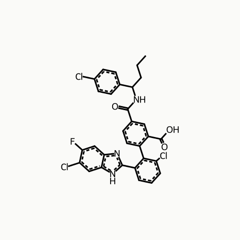 CCCC(NC(=O)c1ccc(-c2c(Cl)cccc2-c2nc3cc(F)c(Cl)cc3[nH]2)c(C(=O)O)c1)c1ccc(Cl)cc1